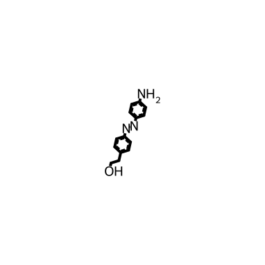 Nc1ccc(N=Nc2ccc(CCO)cc2)cc1